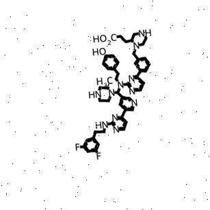 C[C@H]1CNCCN1C(c1cncc(-c2ccnc(NCCc3cc(F)cc(F)c3)n2)c1)N(CCc1ccc(O)cc1)c1nccc(-c2cccc(CN3CCNCC3CCC(=O)O)c2)n1